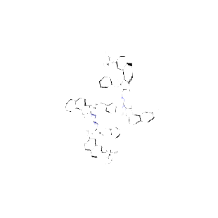 C[N+]1=C(/C=C/C=C2/N(Cc3ccc(CN4/C(=C/C=C/C5=[N+](C)c6ccc7ccc([N+](=O)[O-])cc7c6C5(C)Cc5ccccc5)C(C)(C)c5c4ccc4ccc(Br)cc54)cc3)c3ccc4ccc(Br)cc4c3C2(C)C)C(C)(Cc2ccccc2)c2c1ccc1ccc([N+](=O)[O-])cc21